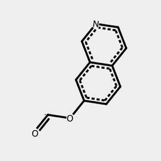 O=[C]Oc1ccc2ccncc2c1